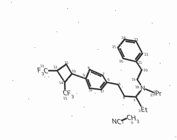 CC#N.CCC(CCc1ccc(C2CC(C(F)(F)F)C2C(F)(F)F)cc1)N(CCc1ccccc1)C(C)C